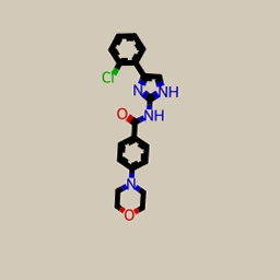 O=C(Nc1nc(-c2ccccc2Cl)c[nH]1)c1ccc(N2CCOCC2)cc1